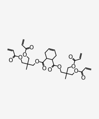 C=CC(=O)OCC(C)(COC(=O)C=C)COC(=O)C1CC=CCC1C(=O)OCC(C)(COC(=O)C=C)COC(=O)C=C